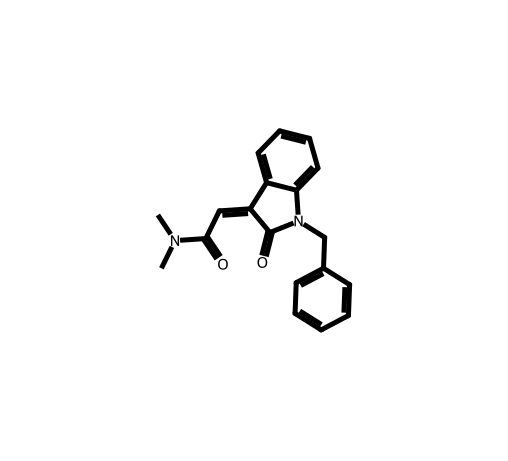 CN(C)C(=O)C=C1C(=O)N(Cc2ccccc2)c2ccccc21